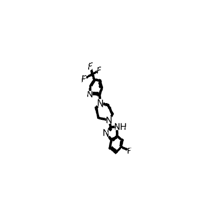 Fc1ccc2nc(N3CCN(c4ccc(C(F)(F)F)cn4)CC3)[nH]c2c1